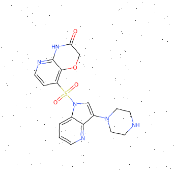 O=C1COc2c(S(=O)(=O)n3cc(N4CCNCC4)c4ncccc43)ccnc2N1